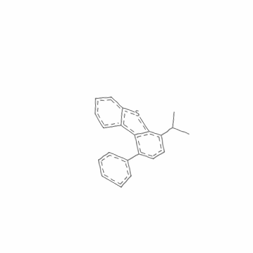 CC(C)c1ccc(-c2ccccc2)c2c1sc1ccccc12